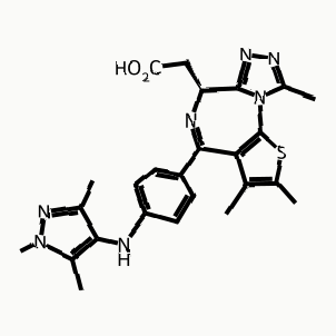 Cc1nn(C)c(C)c1Nc1ccc(C2=N[C@@H](CC(=O)O)c3nnc(C)n3-c3sc(C)c(C)c32)cc1